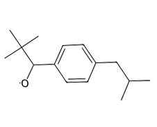 CC(C)Cc1ccc(C([O])C(C)(C)C)cc1